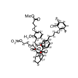 COC(=O)CCOc1nccc(CN(C(=O)C2=C(c3ccc(CCCOc4c(F)ccc(F)c4Cl)cc3)CC3CCC2N3C(=O)OCCOCCO[N+](=O)[O-])C2CC2)c1C